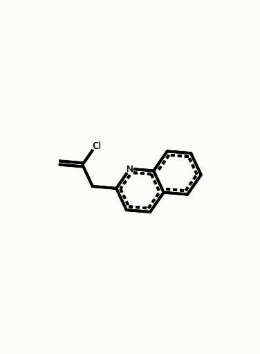 C=C(Cl)Cc1ccc2ccccc2n1